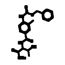 COC(=O)C(NC(=O)c1ccc(NC(=O)OCc2ccccc2)c(C)c1)C(C)O